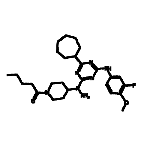 CCCCC(=O)N1CCC(N(N)c2nc(Nc3ccc(OC)c(F)c3)nc(C3CCCCCC3)n2)CC1